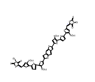 CCCCCCCCc1cc(/C=C2/SC(=S)N(CC)C2=O)sc1-c1ccc(-c2sc(-c3cc4cc5sc(-c6cc(CCCCCCCC)c(-c7ccc(-c8sc(/C=C9/SC(=S)N(CC)C9=O)cc8CCCCCCCC)s7)s6)cc5cc4s3)cc2CCCCCCCC)s1